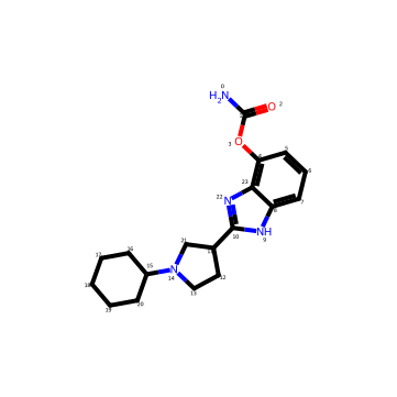 NC(=O)Oc1cccc2[nH]c(C3CCN(C4CCCCC4)C3)nc12